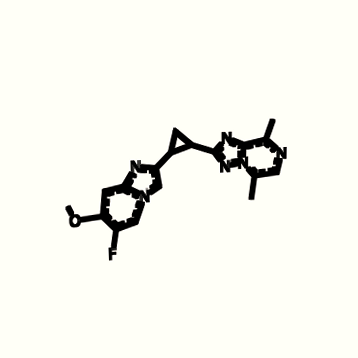 COc1cc2nc(C3CC3c3nc4c(C)ncc(C)n4n3)cn2cc1F